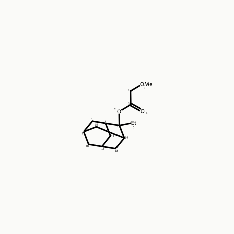 CCC1(OC(=O)COC)C2CC3CC(C2)CC1C3